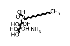 CCCCCCCCCCCCN(CC(=O)O)C[C@H](O)[C@@H](O)[C@H](O)[C@H](O)CO.N